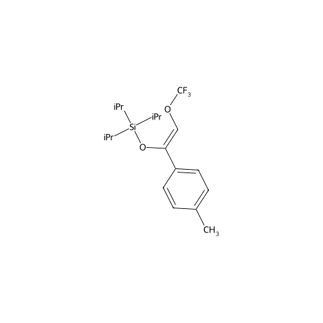 Cc1ccc(C(=COC(F)(F)F)O[Si](C(C)C)(C(C)C)C(C)C)cc1